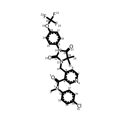 CN(C(=O)c1cnccc1CN1C(=O)N(c2ccc(OC(F)(F)F)cc2)C(=O)C1(C)C)c1ccc(Cl)cc1